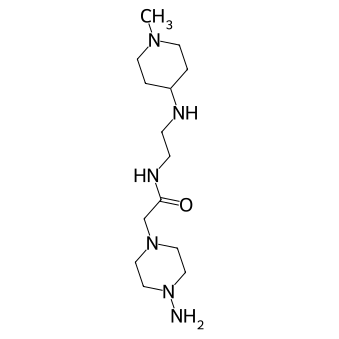 CN1CCC(NCCNC(=O)CN2CCN(N)CC2)CC1